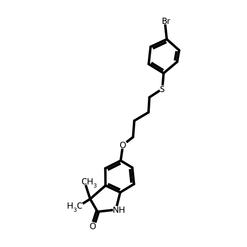 CC1(C)C(=O)Nc2ccc(OCCCCSc3ccc(Br)cc3)cc21